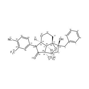 C[C@]12C[C@@](O)(Cc3ccccc3)[C@]3(CCO[C@H]4[C@@H]3[C@]1(C(=O)O)C(=O)N4c1ccc(C#N)c(C(F)(F)F)c1)O2